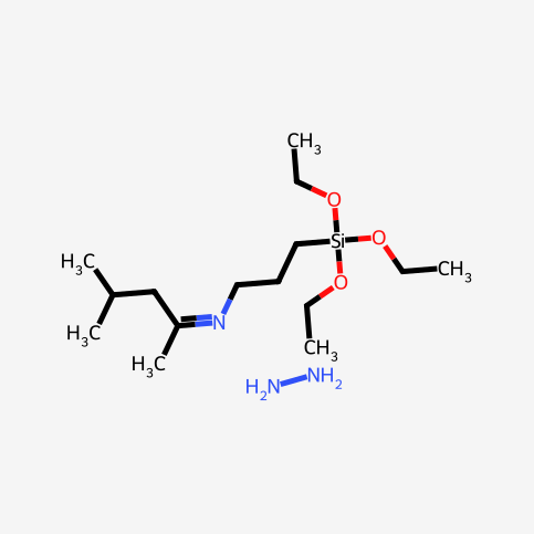 CCO[Si](CCCN=C(C)CC(C)C)(OCC)OCC.NN